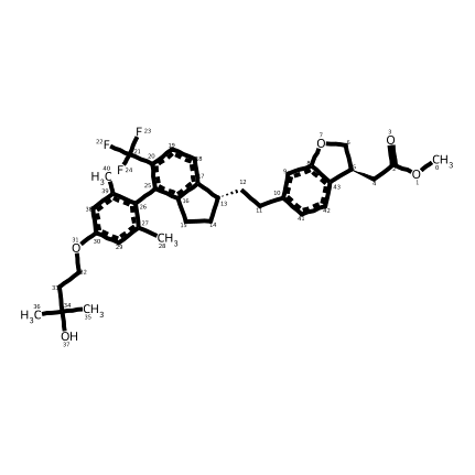 COC(=O)C[C@@H]1COc2cc(CC[C@@H]3CCc4c3ccc(C(F)(F)F)c4-c3c(C)cc(OCCC(C)(C)O)cc3C)ccc21